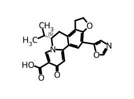 CC(C)[C@@H]1Cc2c(cc(-c3cnco3)c3c2CCO3)-c2cc(=O)c(C(=O)O)cn21